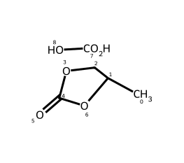 CC1COC(=O)O1.O=C(O)O